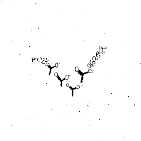 CC(=O)[O-].CC(=O)[O-].CC(=O)[O-].CC(=O)[O-].[O-2].[O-2].[O-2].[O-2].[Pt+4].[Pt+4].[Pt+4]